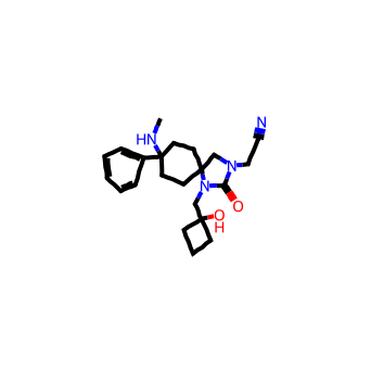 CNC1(c2ccccc2)CCC2(CC1)CN(CC#N)C(=O)N2CC1(O)CCC1